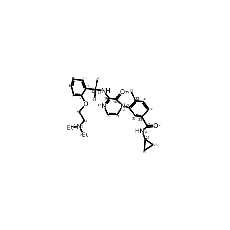 CCN(CC)CCOc1ccccc1C(C)(C)Nc1nccn(-c2cc(C(=O)NC3CC3)ccc2C)c1=O